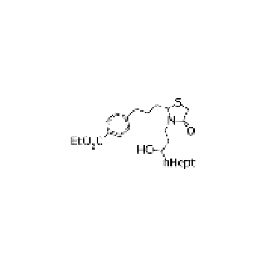 CCCCCCCC(O)CCN1C(=O)CSC1CCCc1ccc(C(=O)OCC)cc1